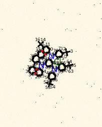 CC(C)(C)c1ccc(N(c2ccc(C(C)(C)C)cc2)c2cc(N(c3ccccc3)c3c(-c4ccccc4)ccc4ccccc34)cc(N(c3ccc(C(C)(C)C)cc3)c3ccc(C(C)(C)C)cc3)c2Cl)cc1